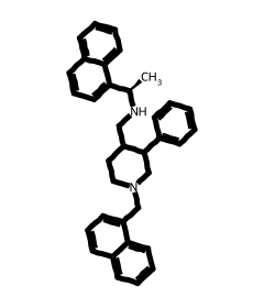 C[C@@H](NCC1CCN(Cc2cccc3ccccc23)CC1c1ccccc1)c1cccc2ccccc12